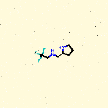 FC(F)(F)CNC[C@@H]1CCCN1